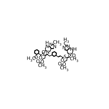 COc1ccccc1C(=O)S/C(CCOC(C)=O)=C(/Cc1cccc(/C=C/C(=O)S/C(CCOC(C)=O)=C(/C)N2Cc3cnc(C)nc3NCC2=O)c1)N1Cc2cnc(C)nc2NCC1=O